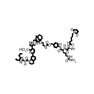 C=Cc1nc(NC(=O)N2CCCc3ccc(-c4ccc(-c5cnn(CC6(CCC)CC7(C)CCCC(OCCN(C)C(=O)OCc8ccc(NC(=O)[C@H](CCCNC(N)=O)NC(=O)[C@@H](NC(=O)CCCCCN9C(=O)C=CC9=O)C(C)C)cc8)(C7)C6)c5C)c(C(=O)O)n4)cc32)sc1/C=C\C